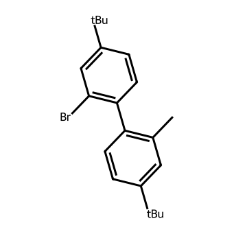 Cc1cc(C(C)(C)C)ccc1-c1ccc(C(C)(C)C)cc1Br